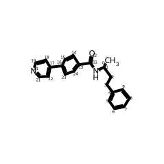 CC(CCc1ccccc1)NC(=O)c1ccc(-c2ccncc2)cc1